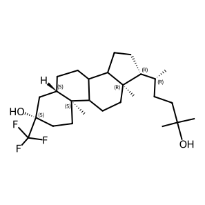 C[C@H](CCC(C)(C)O)[C@H]1CCC2C3CC[C@H]4C[C@](O)(C(F)(F)F)CC[C@]4(C)C3CC[C@@]21C